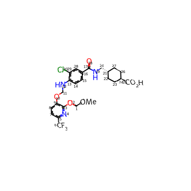 COCOc1nc(C(F)(F)F)ccc1OCNc1ccc(C(=O)NC[C@H]2CC[C@H](C(=O)O)CC2)cc1Cl